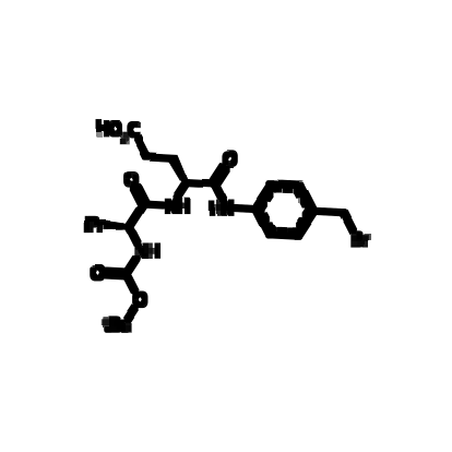 CC(C)[C@H](NC(=O)OC(C)(C)C)C(=O)N[C@@H](CCC(=O)O)C(=O)Nc1ccc(CBr)cc1